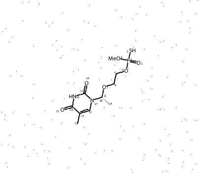 COP(=O)(S)OCCO[C@H](C)n1cc(C)c(=O)[nH]c1=O